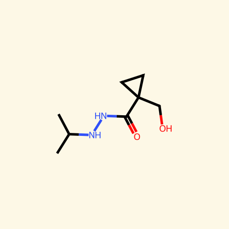 CC(C)NNC(=O)C1(CO)CC1